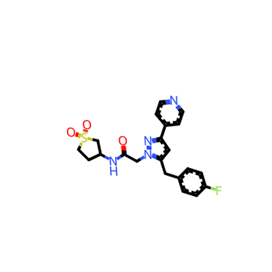 O=C(Cn1nc(-c2ccncc2)cc1Cc1ccc(F)cc1)NC1CCS(=O)(=O)C1